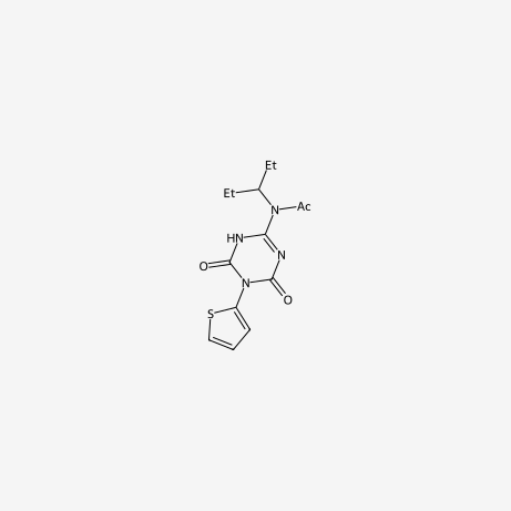 CCC(CC)N(C(C)=O)c1nc(=O)n(-c2cccs2)c(=O)[nH]1